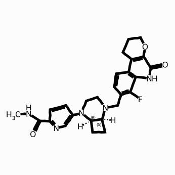 CNC(=O)c1ccc(N2CCN(Cc3ccc4c5c(c(=O)[nH]c4c3F)OCCC5)[C@H]3CC[C@H]32)cn1